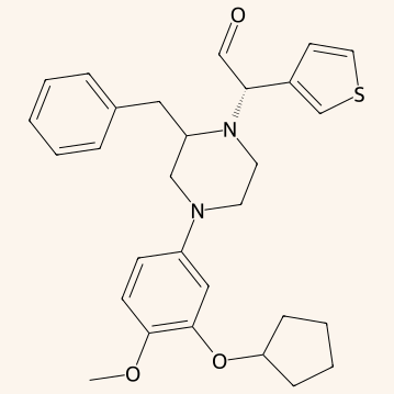 COc1ccc(N2CCN([C@H](C=O)c3ccsc3)C(Cc3ccccc3)C2)cc1OC1CCCC1